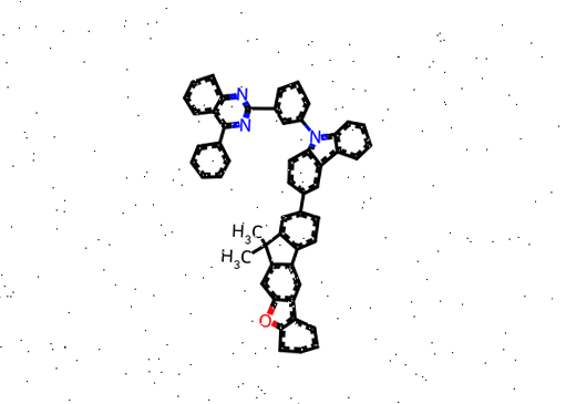 CC1(C)c2cc(-c3ccc4c(c3)c3ccccc3n4-c3cccc(-c4nc(-c5ccccc5)c5ccccc5n4)c3)ccc2-c2cc3c(cc21)oc1ccccc13